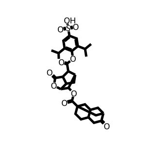 CC(C)c1cc(S(=O)(=O)O)cc(C(C)C)c1OC(=O)C1C2CC3C(OC(=O)C31)C2OC(=O)C12CCC3CC(=O)C(CC3C1)C2